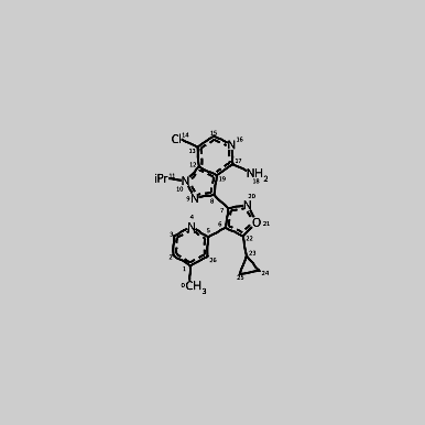 Cc1ccnc(-c2c(-c3nn(C(C)C)c4c(Cl)cnc(N)c34)noc2C2CC2)c1